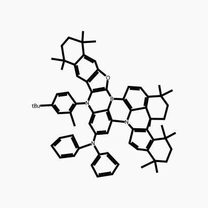 Cc1cc(C(C)(C)C)ccc1N1c2cc(N(c3ccccc3)c3ccccc3)cc3c2B(c2ccc4c5c2N3c2ccc3c(c2C5(C)CCC4(C)C)C(C)(C)CCC3(C)C)c2oc3cc4c(cc3c21)C(C)(C)CCC4(C)C